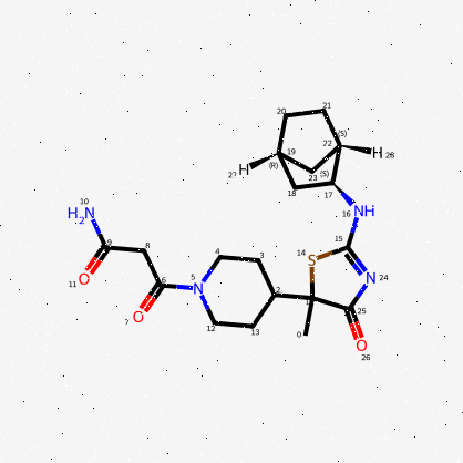 CC1(C2CCN(C(=O)CC(N)=O)CC2)SC(N[C@H]2C[C@@H]3CC[C@H]2C3)=NC1=O